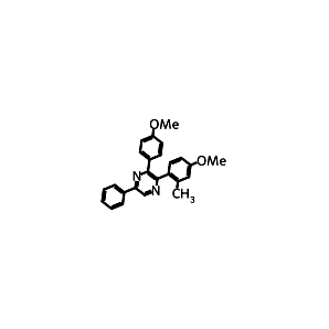 COc1ccc(-c2nc(-c3ccccc3)cnc2-c2ccc(OC)cc2C)cc1